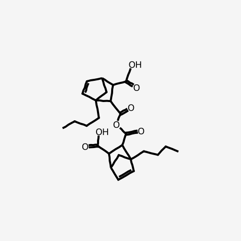 CCCCC12C=CC(C1)C(C(=O)O)C2C(=O)OC(=O)C1C(C(=O)O)C2C=CC1(CCCC)C2